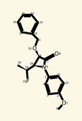 COc1ccc(N2C(=O)[C@H](OCc3ccccc3)[C@@H]2[C@H](C)F)cc1